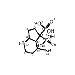 O=P(O)(O)C1(P(=O)(O)O)CCC2NCCC(S)C21